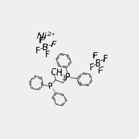 CC(CP(c1ccccc1)c1ccccc1)P(c1ccccc1)c1ccccc1.F[B-](F)(F)F.F[B-](F)(F)F.[Ni+2]